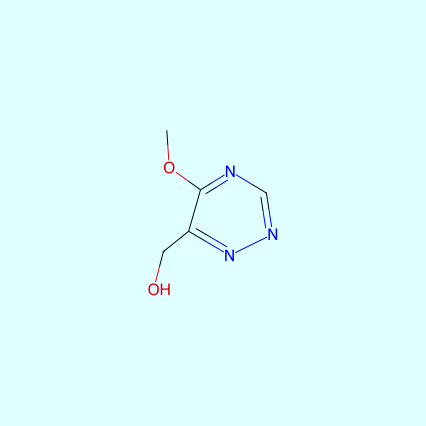 COc1ncnnc1CO